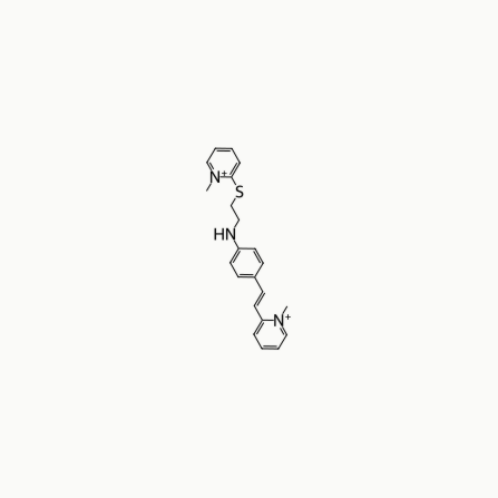 C[n+]1ccccc1/C=C/c1ccc(NCCSc2cccc[n+]2C)cc1